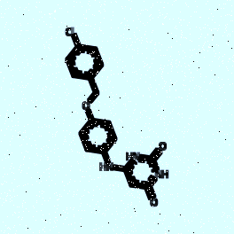 O=c1cc(Nc2ccc(OCc3ccc(Cl)cc3)cc2)[nH]c(=O)[nH]1